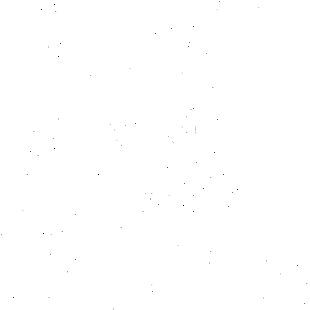 CC(=NN)c1cnn2ccc(C#N)cc12